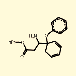 CCCOC(=O)CC(N)C1(Oc2ccccc2)C=CC=CC1